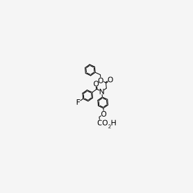 O=C(O)COc1ccc(N(CC(=O)OCc2ccccc2)C(=O)c2ccc(F)cc2)cc1